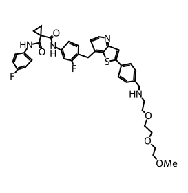 COCCOCCOCCNCc1ccc(-c2cc3nccc(Cc4ccc(NC(=O)C5(C(=O)Nc6ccc(F)cc6)CC5)cc4F)c3s2)cc1